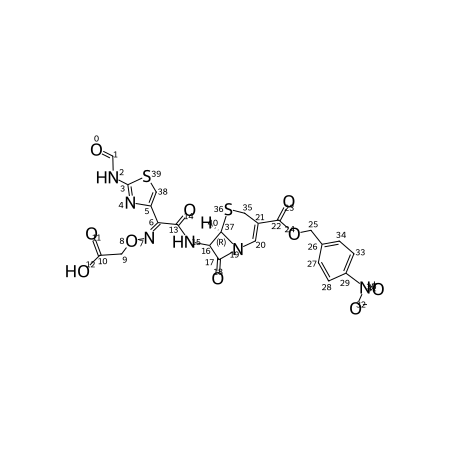 O=CNc1nc(C(=NOCC(=O)O)C(=O)NC2C(=O)N3C=C(C(=O)OCc4ccc([N+](=O)[O-])cc4)CS[C@H]23)cs1